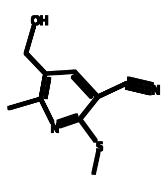 CSc1nc(C)c(CO)cc1C#N